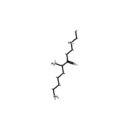 CCNCCC(=O)C(N)CCCCN